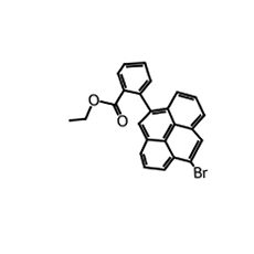 CCOC(=O)c1ccccc1-c1cc2cccc3c(Br)cc4cccc1c4c23